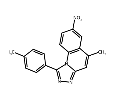 Cc1ccc(-c2nnc3cc(C)c4cc([N+](=O)[O-])ccc4n23)cc1